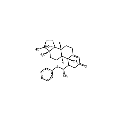 C=C(Sc1ccccc1)C1CC(=O)C=C2CC[C@@H]3[C@@H](CC[C@]4(C)C(O)CC[C@@]34O)[C@]21C